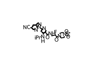 CC(C)Nc1cc(-n2ncc3cc(C#N)cnc32)ncc1C(=O)NCC(F)C(=O)N1CCN(S(C)(=O)=O)CC1